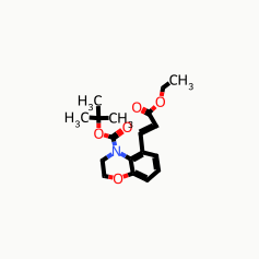 CCOC(=O)C=Cc1cccc2c1N(C(=O)OC(C)(C)C)CCO2